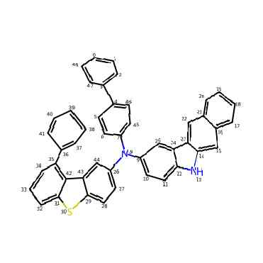 c1ccc(-c2ccc(N(c3ccc4[nH]c5cc6ccccc6cc5c4c3)c3ccc4sc5cccc(-c6ccccc6)c5c4c3)cc2)cc1